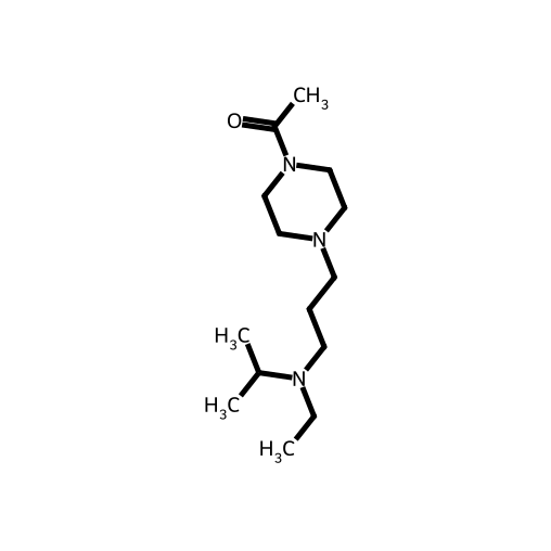 CCN(CCCN1CCN(C(C)=O)CC1)C(C)C